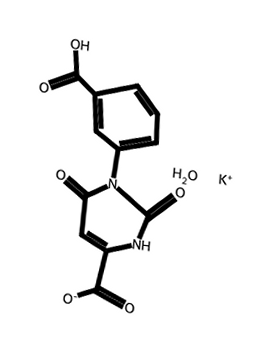 O.O=C(O)c1cccc(-n2c(=O)cc(C(=O)[O-])[nH]c2=O)c1.[K+]